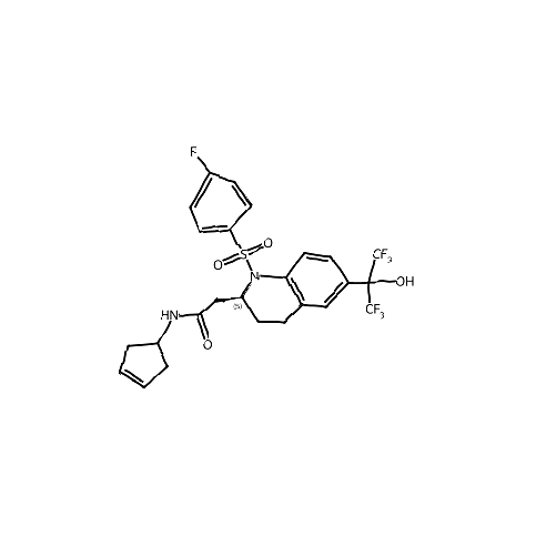 O=C(C[C@@H]1CCc2cc(C(O)(C(F)(F)F)C(F)(F)F)ccc2N1S(=O)(=O)c1ccc(F)cc1)NC1CC=CC1